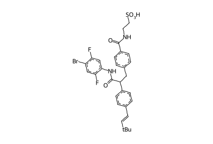 CC(C)(C)/C=C/c1ccc(C(Cc2ccc(C(=O)NCCS(=O)(=O)O)cc2)C(=O)Nc2cc(F)c(Br)cc2F)cc1